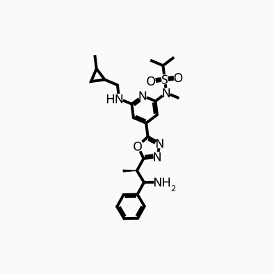 CC1CC1CNc1cc(-c2nnc([C@H](C)C(N)c3ccccc3)o2)cc(N(C)S(=O)(=O)C(C)C)n1